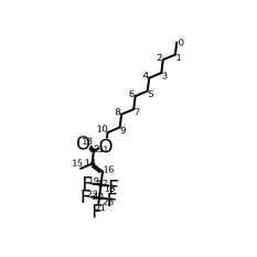 CCCCCCCCCCCOC(=O)C(C)=CC(F)(F)C(F)(F)F